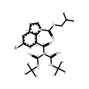 CC(C)COC(=O)n1ccc2cc(Br)cc(C(=O)N(C(=O)OC(C)(C)C)C(=O)OC(C)(C)C)c21